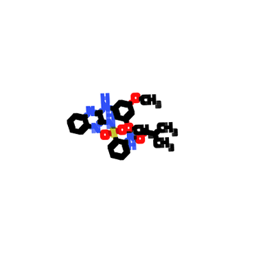 COc1cc(Nc2nc3ccccc3nc2NS(=O)(=O)c2ccccc2NOCC(C)C)cc(OC)c1